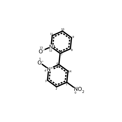 O=[N+]([O-])c1cc[n+]([O-])c(-c2cccc[n+]2[O-])c1